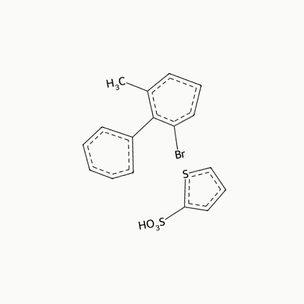 Cc1cccc(Br)c1-c1ccccc1.O=S(=O)(O)c1cccs1